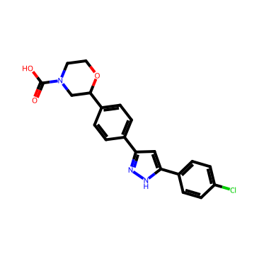 O=C(O)N1CCOC(c2ccc(-c3cc(-c4ccc(Cl)cc4)[nH]n3)cc2)C1